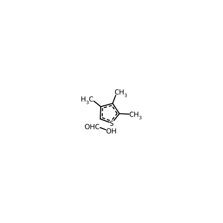 Cc1csc(C)c1C.O=CO